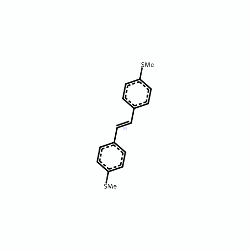 CSc1ccc(/C=C/c2ccc(SC)cc2)cc1